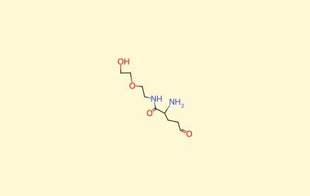 NC(CCC=O)C(=O)NCCOCCO